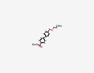 COCCOCc1ccc(-c2ccc(C(=O)OC)cc2)cc1